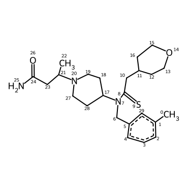 Cc1cccc(CN(C(=S)CC2CCOCC2)C2CCN(C(C)CC(N)=O)CC2)c1